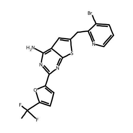 CC(F)(F)c1ccc(-c2nc(N)c3cc(Cc4ncccc4Br)sc3n2)o1